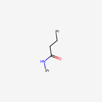 CC(C)CCC(=O)NC(C)C